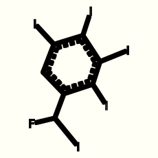 FC(I)c1cc(I)c(I)c(I)c1I